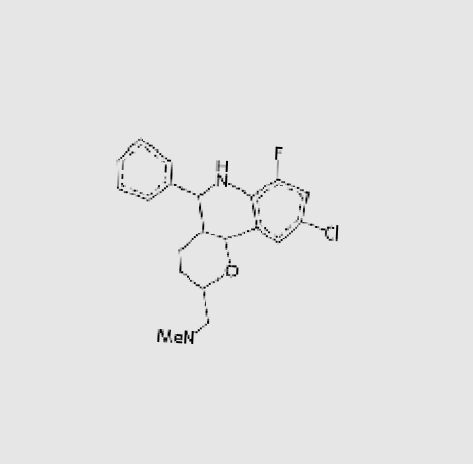 CNCC1CCC2C(c3ccccc3)Nc3c(F)cc(Cl)cc3C2O1